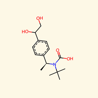 C[C@@H](c1ccc(C(O)CO)cc1)N(C(=O)O)C(C)(C)C